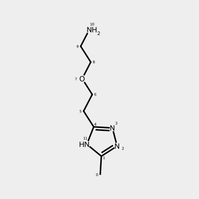 Cc1nnc(CCOCCN)[nH]1